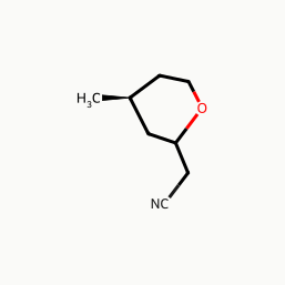 C[C@H]1CCOC(CC#N)C1